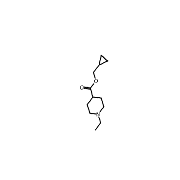 CCN1CCC(C(=O)OCC2CC2)CC1